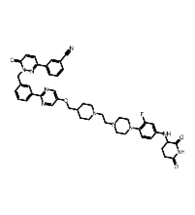 N#Cc1cccc(-c2ccc(=O)n(Cc3cccc(-c4ncc(OCC5CCN(CCN6CCN(c7ccc(NC8CCC(=O)NC8=O)cc7F)CC6)CC5)cn4)c3)n2)c1